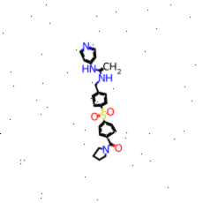 C=C(NCc1ccc(S(=O)(=O)c2ccc(C(=O)N3CCCC3)cc2)cc1)Nc1ccncc1